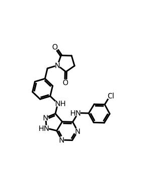 O=C1CCC(=O)N1Cc1cccc(Nc2n[nH]c3ncnc(Nc4cccc(Cl)c4)c23)c1